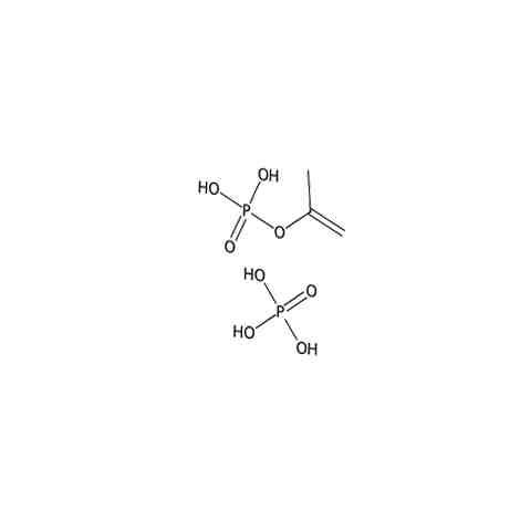 C=C(C)OP(=O)(O)O.O=P(O)(O)O